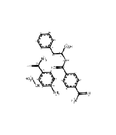 CS(=O)(=O)O.N=C(N)c1ccc(C(=O)N[C@@H](Cc2ccccc2)C(=O)O)cc1.NC(=O)c1ccc(N)cc1